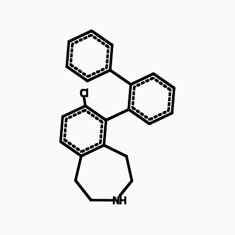 Clc1ccc2c(c1-c1ccccc1-c1ccccc1)CCNCC2